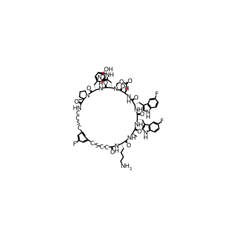 C[C@H]1NC(=O)[C@H](CCCCN)NC(=O)CCSCc2cc(F)cc(c2)CSCCNC(=O)[C@]2(C)CCCN2C(=O)[C@H](Cc2ccc(O)cc2)NC(=O)[C@H](Cc2cnc[nH]2)N2COC(=O)C[C@H](NC(=O)[C@H](Cc3c[nH]c4ccc(F)cc34)NC(=O)[C@H](Cc3c[nH]c4ccc(F)cc34)NC1=O)C2=O